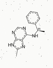 Cc1nc2c(N[C@H](C)c3ccccc3)ncnc2[nH]1